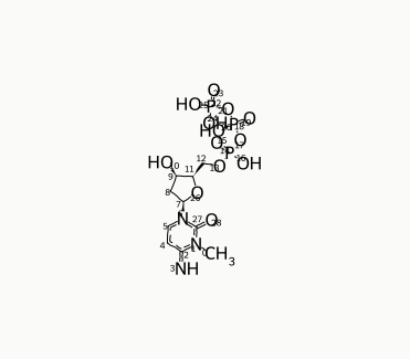 Cn1c(=N)ccn([C@H]2C[C@@H](O)[C@@H](COP(=O)(O)OP(=O)(O)OP(=O)(O)O)O2)c1=O